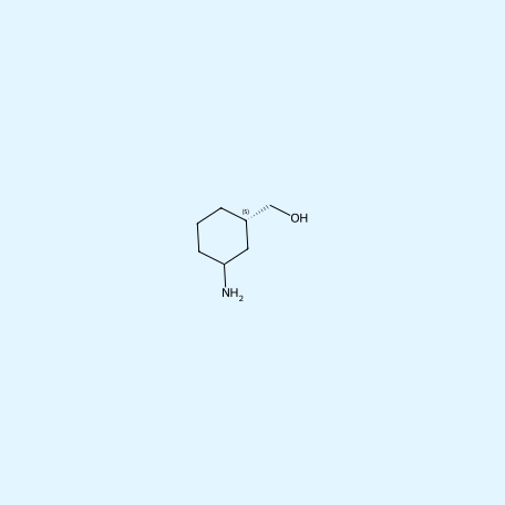 NC1CCC[C@H](CO)C1